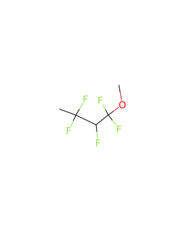 COC(F)(F)C(F)C(C)(F)F